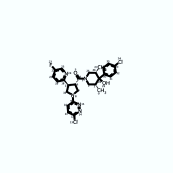 C[C@@H]1CN(C(=O)[C@@H]2CN(c3ccc(Cl)nn3)C[C@H]2c2ccc(F)cn2)C[C@H](C)C1(O)c1ccc(Cl)cc1